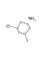 Clc1cccc(I)c1.N